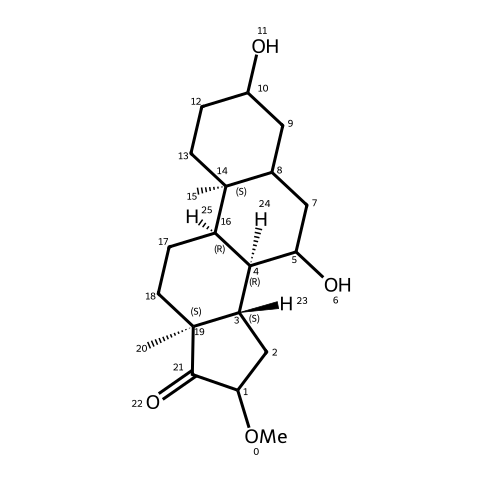 COC1C[C@H]2[C@@H]3C(O)CC4CC(O)CC[C@]4(C)[C@@H]3CC[C@]2(C)C1=O